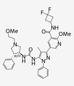 COCCN1C[C@@H](NC(=O)Nc2c(C)c(-c3cnc(OC)c(C(=O)NC4CC(F)(F)C4)c3)nn2-c2ccccc2)[C@H](c2ccccc2)C1